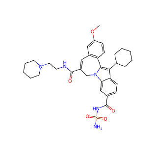 COc1ccc2c(c1)C=C(C(=O)NCCN1CCCCC1)Cn1c-2c(C2CCCCC2)c2ccc(C(=O)NS(N)(=O)=O)cc21